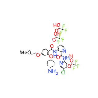 COCCOc1ccc(C(=O)Nc2cccnc2C(=O)Nc2ccc(Cl)cn2)c(O[C@H]2CC[C@@H](N)CC2)c1.O=C(O)C(F)(F)F.O=C(O)C(F)(F)F.O=C(O)C(F)(F)F